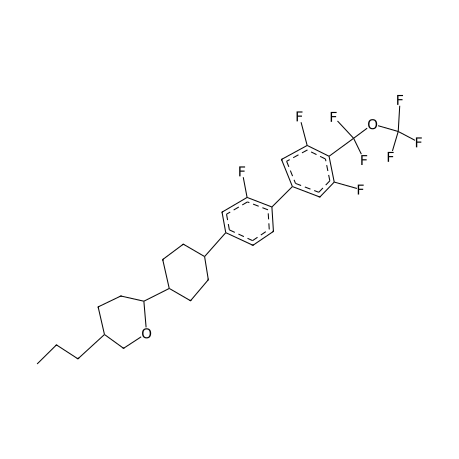 CCCC1CCC(C2CCC(c3ccc(-c4cc(F)c(C(F)(F)OC(F)(F)F)c(F)c4)c(F)c3)CC2)OC1